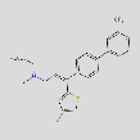 Cc1csc(C(=CCN(C)CC(=O)O)c2ccc(-c3cccc(C(F)(F)F)c3)cc2)c1